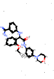 N=C(N)c1cccc(NC(C(=O)Nc2ccc(N3CCOCC3)cc2)c2ccccc2OCC(=O)O)c1